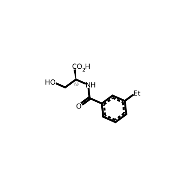 CCc1cccc(C(=O)N[C@@H](CO)C(=O)O)c1